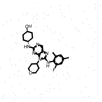 Cc1cc(C)c(Nc2nc3cnc(N[C@H]4CC[C@H](O)CC4)nc3n2C2CCOCC2)c(F)c1